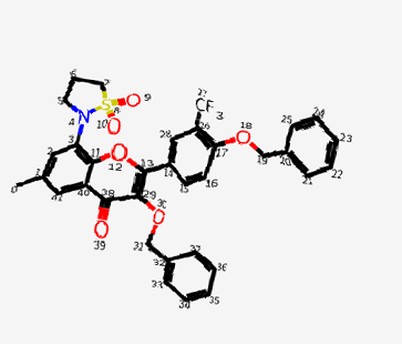 Cc1cc(N2CCCS2(=O)=O)c2oc(-c3ccc(OCc4ccccc4)c(C(F)(F)F)c3)c(OCc3ccccc3)c(=O)c2c1